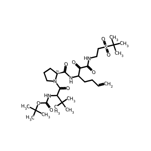 C=CCCC(NC(=O)[C@@H]1CCCN1C(=O)C(NC(=O)OC(C)(C)C)C(C)(C)C)C(=O)C(=O)NCCS(=O)(=O)C(C)(C)C